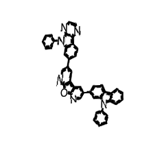 c1ccc(-n2c3ccccc3c3ccc(-c4cnc5oc6ncc(-c7ccc8c9nccnc9n(-c9ccccc9)c8c7)cc6c5c4)cc32)cc1